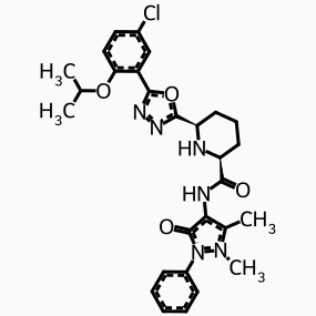 Cc1c(NC(=O)[C@@H]2CCC[C@H](c3nnc(-c4cc(Cl)ccc4OC(C)C)o3)N2)c(=O)n(-c2ccccc2)n1C